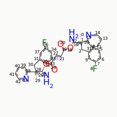 C[C@@](Cc1cccc(F)c1)(c1ccccn1)C(N)OC(=O)/C=C/C(=O)OC(N)[C@](C)(Cc1cccc(F)c1)c1ccccn1